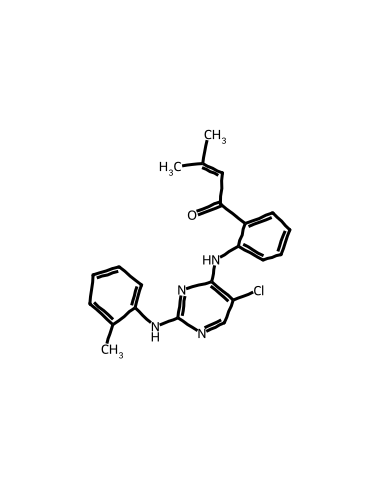 CC(C)=CC(=O)c1ccccc1Nc1nc(Nc2ccccc2C)ncc1Cl